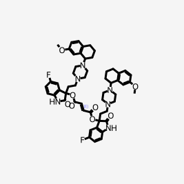 COc1ccc2c(c1)C(N1CCN(CCC3(OC(=O)/C=C/C(=O)OC4(CCN5CCN(C6CCCc7ccc(OC)cc76)CC5)C(=O)Nc5ccc(F)cc54)C(=O)Nc4ccc(F)cc43)CC1)CCC2